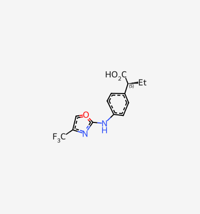 CC[C@H](C(=O)O)c1ccc(Nc2nc(C(F)(F)F)co2)cc1